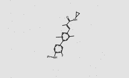 C/C(=C\c1cc(C)c(-c2ccc(NC(C)C)c(F)c2)cc1C)C(=O)NC1CC1